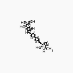 C[C@H](O)c1nccn1[C@@H](C#Cc1ccc(-c2ccc(C3CC(NC4C(O)OC(CO)C(O)C4O)C3)cc2)cc1)CO